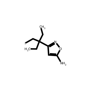 CCC(CC)(CI)c1cc(N)on1